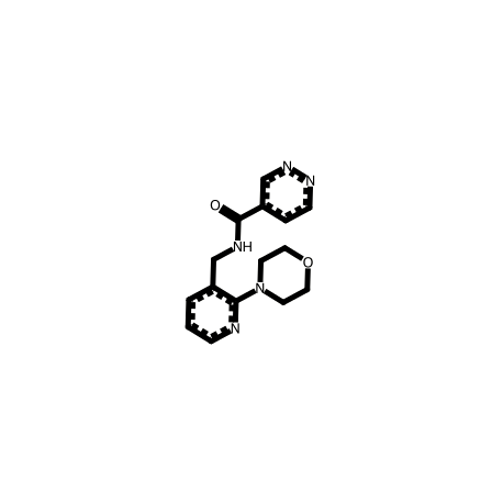 O=C(NCc1cccnc1N1CCOCC1)c1ccnnc1